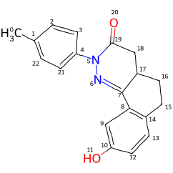 Cc1ccc(N2N=C3c4cc(O)ccc4CCC3CC2=O)cc1